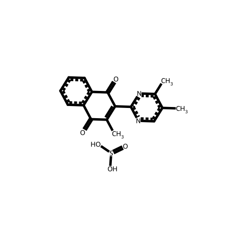 CC1=C(c2ncc(C)c(C)n2)C(=O)c2ccccc2C1=O.O=S(O)O